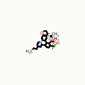 CCCc1ccnc(-c2ccc(C(F)(F)F)c(C(OC(C)(C)C)C(=O)O)c2-c2ccc3c(c2)CCCO3)c1